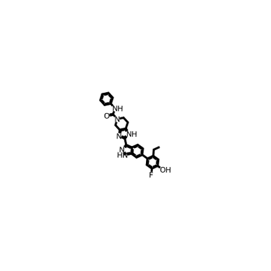 CCc1cc(O)c(F)cc1-c1ccc2c(-c3nc4c([nH]3)CCN(C(=O)Nc3ccccc3)C4)n[nH]c2c1